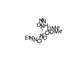 CCN1CCN(c2cccc3c2CN([C@H](CCCNC(=O)c2nccn2C)c2ccc(OC)c(OC)c2)C3=O)CC1